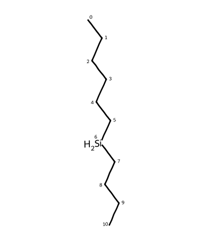 CCCCCC[SiH2]CCCC